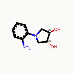 Nc1ccccc1N1C[C@@H](O)[C@H](O)C1